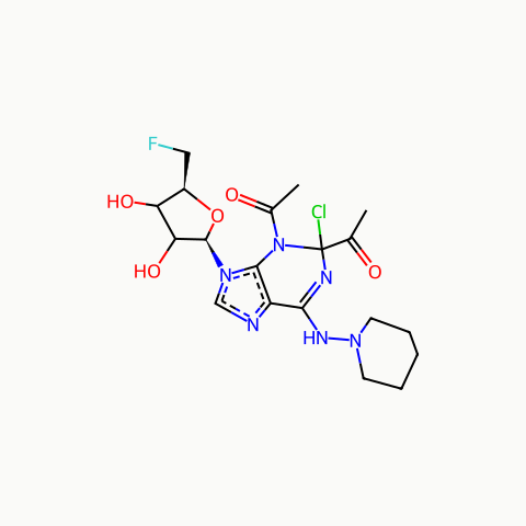 CC(=O)N1c2c(ncn2[C@@H]2O[C@H](CF)C(O)C2O)C(NN2CCCCC2)=NC1(Cl)C(C)=O